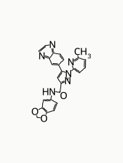 Cc1cccc(-n2nc(C(=O)Nc3ccc4c(c3)OCO4)cc2-c2ccc3nccnc3c2)n1